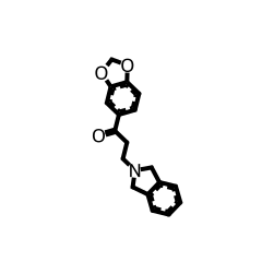 O=C(CCN1Cc2ccccc2C1)c1ccc2c(c1)OCO2